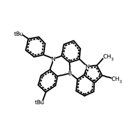 Cc1c(C)n2c3c(cccc13)B1c3cc(C(C)(C)C)ccc3N(c3ccc(C(C)(C)C)cc3)c3cccc-2c31